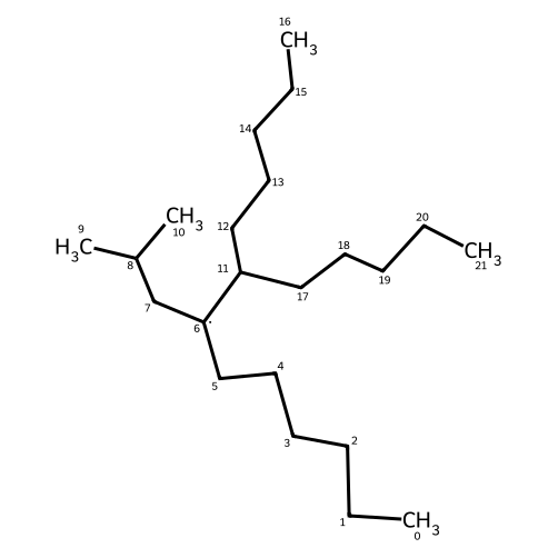 CCCCCC[C](CC(C)C)C(CCCCC)CCCCC